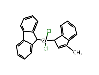 CC1=C[CH]([Zr]([Cl])([Cl])[CH]2c3ccccc3-c3ccccc32)c2ccccc21